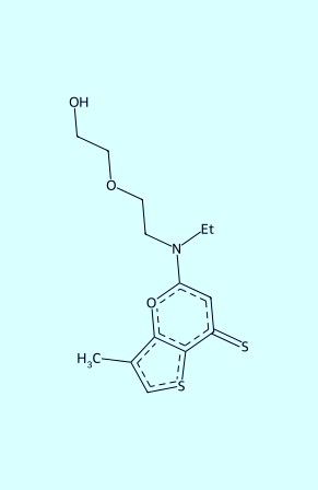 CCN(CCOCCO)c1cc(=S)c2scc(C)c2o1